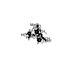 C#C[C@H]1CC(F)(F)c2c1c(C(F)F)nn2CC(=O)N[C@@H](Cc1cc(F)cc(F)c1)c1nc(C#CC(C)(C)O)ccc1-c1ccc(Cl)c2c(NC(=O)OC)nn(C)c12